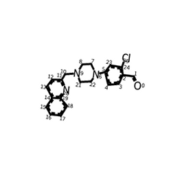 O=Cc1ccc(N2CCN(Cc3ccc4ccccc4n3)CC2)cc1Cl